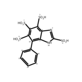 O=S(=O)(O)c1nc2c(S(=O)(=O)O)c(S(=O)(=O)O)c(S(=O)(=O)O)c(-c3ccccc3)c2[nH]1